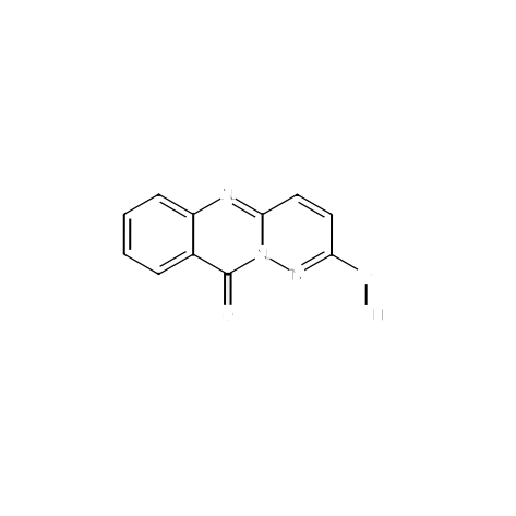 COc1ccc2nc3ccccc3c(=O)n2n1